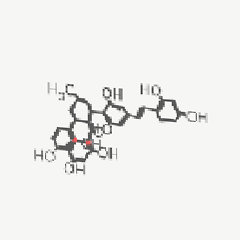 CC1=CC(c2c(O)cc(/C=C/c3ccc(O)cc3O)cc2O)C(C(=O)c2ccc(O)cc2O)C(c2ccc(O)cc2O)C1